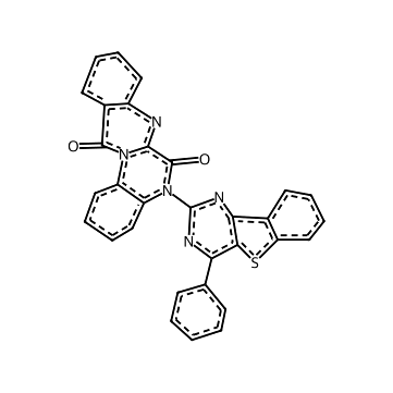 O=c1c2nc3ccccc3c(=O)n2c2ccccc2n1-c1nc(-c2ccccc2)c2sc3ccccc3c2n1